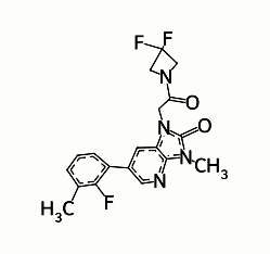 Cc1cccc(-c2cnc3c(c2)n(CC(=O)N2CC(F)(F)C2)c(=O)n3C)c1F